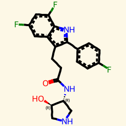 O=C(CCc1c(-c2ccc(F)cc2)[nH]c2c(F)cc(F)cc12)N[C@@H]1CNC[C@H]1O